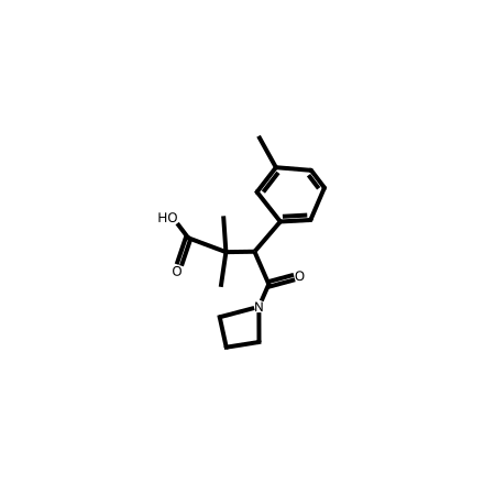 Cc1cccc(C(C(=O)N2CCC2)C(C)(C)C(=O)O)c1